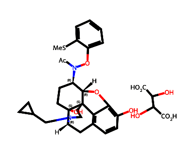 CSc1ccccc1ON(C(C)=O)[C@@H]1CC[C@@]2(O)[C@H]3Cc4ccc(O)c5c4[C@@]2(CCN3CC2CC2)[C@H]1O5.O=C(O)C(O)C(O)C(=O)O